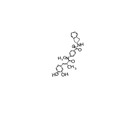 CC(=Cc1ccc(O)c(O)c1)C(=O)N(C)c1ccc(S(=O)(=O)NC2Cc3ccccc3C2)cc1